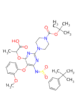 CC(C)(C)c1ccccc1.COc1ccccc1Oc1c(N=S(=O)=O)nc(N2CCN(C(=O)OC(C)(C)C)CC2)nc1OC(C)C(=O)O